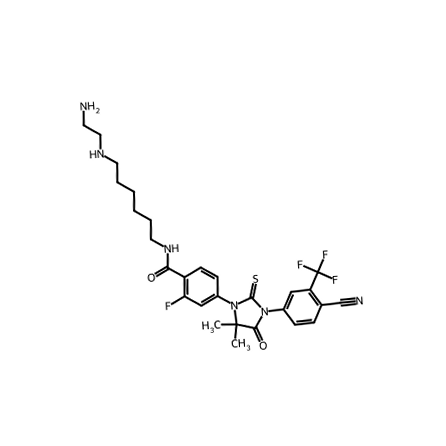 CC1(C)C(=O)N(c2ccc(C#N)c(C(F)(F)F)c2)C(=S)N1c1ccc(C(=O)NCCCCCCNCCN)c(F)c1